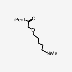 CCCC(C)C(=O)COCCCCCNC